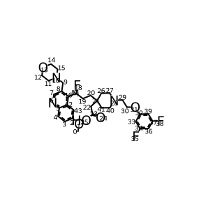 COc1ccc2ncc(CN3CCOCC3)c([C@@H](F)CCC3(CC(=O)O)CCN(CCOc4cc(F)cc(F)c4)CC3)c2c1